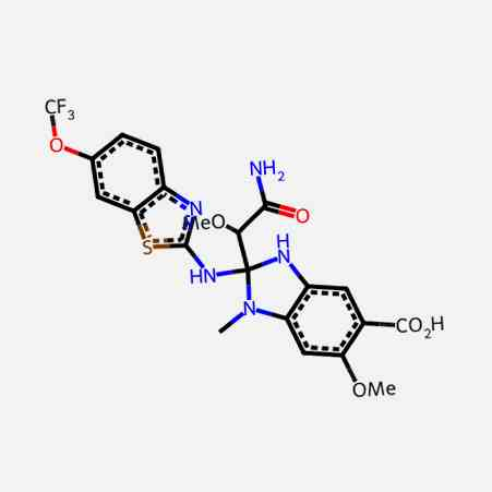 COc1cc2c(cc1C(=O)O)NC(Nc1nc3ccc(OC(F)(F)F)cc3s1)(C(OC)C(N)=O)N2C